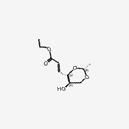 CCOC(=O)C=C[C@@H]1O[C@H](C)OC[C@H]1O